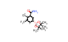 CCc1c(C(N)=O)cc(B2OC(C)(C)C(C)(C)O2)cc1C(F)(F)F